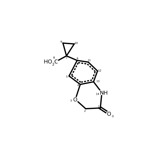 O=C1COc2cc(C3(C(=O)O)CC3)ccc2N1